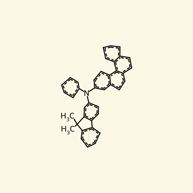 CC1(C)c2ccccc2-c2ccc(N(c3ccccc3)c3ccc4c(ccc5ccc6ccccc6c54)c3)cc21